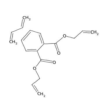 C=CC=C.C=CCOC(=O)c1ccccc1C(=O)OCC=C